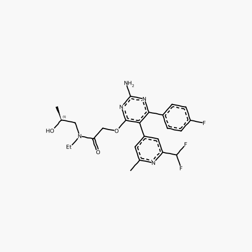 CCN(C[C@H](C)O)C(=O)COc1nc(N)nc(-c2ccc(F)cc2)c1-c1cc(C)nc(C(F)F)c1